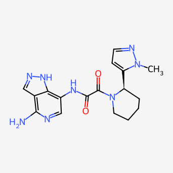 Cn1nccc1[C@H]1CCCCN1C(=O)C(=O)Nc1cnc(N)c2cn[nH]c12